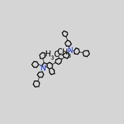 CC1(C)c2cc(-c3cc4c(-c5ccccc5)c(-c5ccccc5)n(-c5ccc(-c6ccccc6)cc5)c4c4ccccc34)ccc2-c2ccc(N(c3ccc(-c4ccccc4)cc3)c3ccc(-c4ccccc4)cc3)cc21